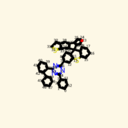 c1ccc(-c2nc(-c3ccc4c(c3)Sc3ccccc3C43c4ccccc4-c4cc5ccsc5cc43)nc(-c3ccccc3-c3ccccc3)n2)cc1